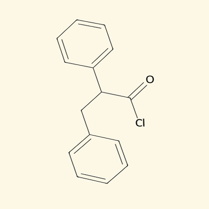 O=C(Cl)C(Cc1ccccc1)c1ccccc1